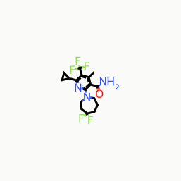 Cc1c(C(N)=O)c(N2CCCC(F)(F)CC2)nc(C2CC2)c1C(F)(F)F